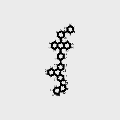 c1ccc(-c2cccc(-c3c4ccccc4c(-c4ccc(-c5ccc6c(c5)c5ccccc5c5cc7c(cc65)sc5ccc6ccccc6c57)cc4)c4ccccc34)c2)cc1